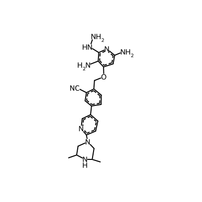 CC1CN(c2ccc(-c3ccc(COc4cc(N)nc(NN)c4N)c(C#N)c3)cn2)CC(C)N1